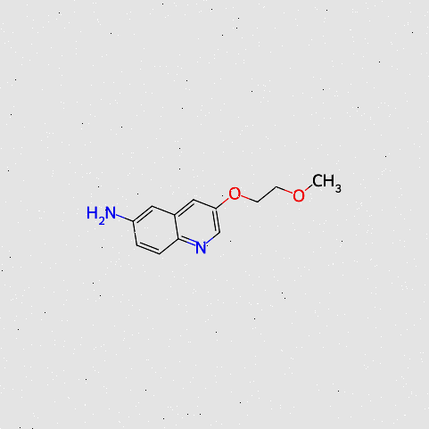 COCCOc1cnc2ccc(N)cc2c1